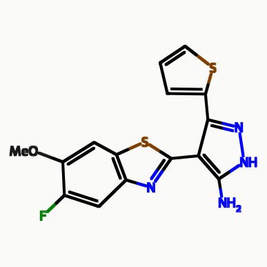 COc1cc2sc(-c3c(-c4cccs4)n[nH]c3N)nc2cc1F